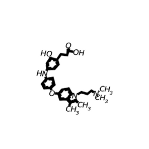 Cc1c(C)n(CCCN(C)C)c2ccc(Oc3ccc(Nc4ccc(CCC(=O)O)c(O)c4)cc3)cc12